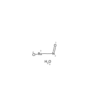 O.O=[N][Ru][Cl]